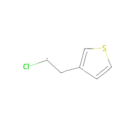 Cl[CH]Cc1ccsc1